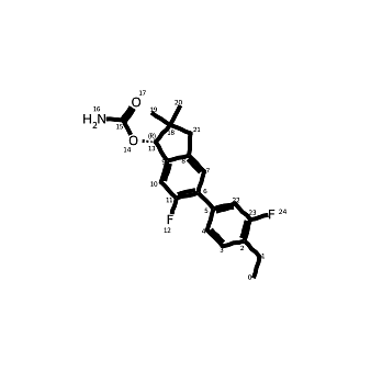 CCc1ccc(-c2cc3c(cc2F)[C@H](OC(N)=O)C(C)(C)C3)cc1F